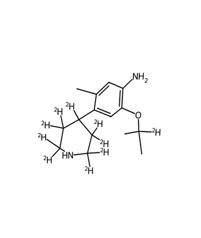 [2H]C(C)(C)Oc1cc(C2([2H])C([2H])([2H])C([2H])([2H])NC([2H])([2H])C2([2H])[2H])c(C)cc1N